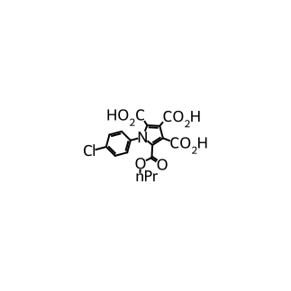 CCCOC(=O)c1c(C(=O)O)c(C(=O)O)c(C(=O)O)n1-c1ccc(Cl)cc1